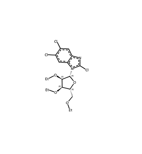 CCOC[C@H]1O[C@@H](n2c(Cl)nc3cc(Cl)c(Cl)cc32)[C@H](OCC)[C@@H]1OCC